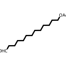 CC(=O)OCCCCCCCCCCCCC=O